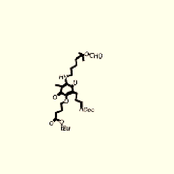 CCCCCCCCCCCCCC1=C(OCCCC(=O)OC(C)(C)C)C(=O)C(C)=C(NCCCCC(C)(C)OC=O)C1=O